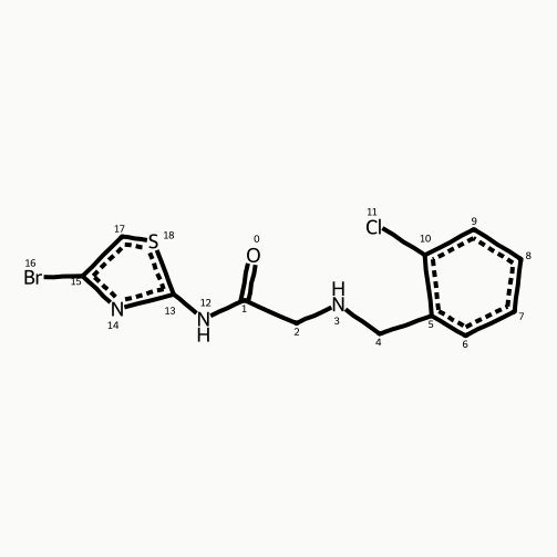 O=C(CNCc1ccccc1Cl)Nc1nc(Br)cs1